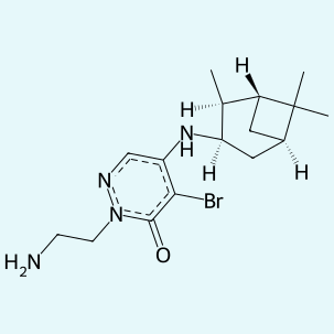 C[C@H]1[C@H]2C[C@H](C[C@H]1Nc1cnn(CCN)c(=O)c1Br)C2(C)C